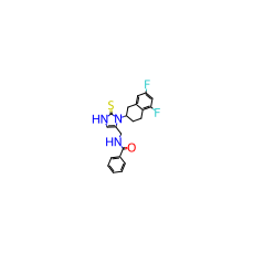 O=C(NCc1c[nH]c(=S)n1C1CCc2c(F)cc(F)cc2C1)c1ccccc1